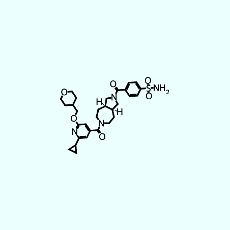 NS(=O)(=O)c1ccc(C(=O)N2C[C@H]3CCN(C(=O)c4cc(OCC5CCOCC5)nc(C5CC5)c4)CC[C@H]3C2)cc1